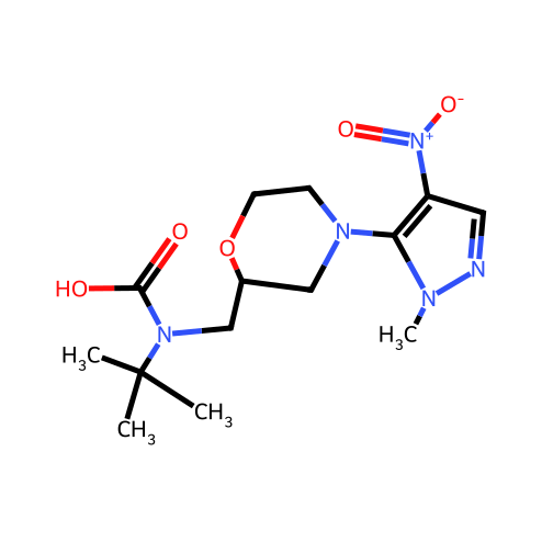 Cn1ncc([N+](=O)[O-])c1N1CCOC(CN(C(=O)O)C(C)(C)C)C1